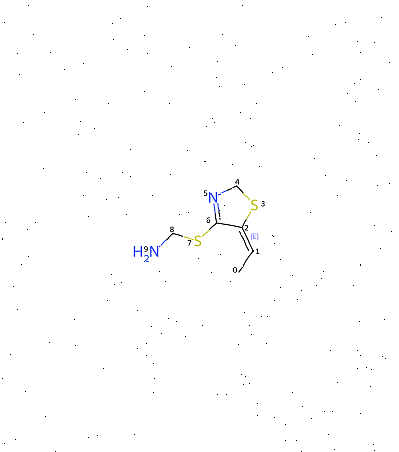 C/C=C1/SCN=C1SCN